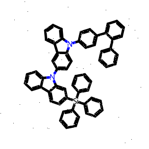 c1ccc(-c2ccccc2-c2ccc(-n3c4ccccc4c4cc(-n5c6ccccc6c6ccc([Si](c7ccccc7)(c7ccccc7)c7ccccc7)cc65)ccc43)cc2)cc1